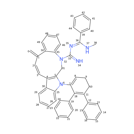 C=C1/C=C\c2c(n(C3=CCCC(c4ccccc4)=C3c3ccccc3)c3ccccc23)CN(C(=N)/N=C(\NC)c2ccccc2)c2ccccc21